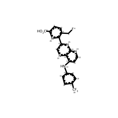 O=C(O)c1ccc(CF)c(-c2cnc3c(Nc4ccc(C(F)(F)F)cc4)ccnc3n2)n1